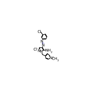 C[n+]1ccc(Cn2ncc(/N=N/c3cccc(Cl)c3)c2N)cc1.[Cl-]